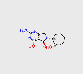 COc1nc(N)nc2c1C(=O)N([C@@H]1CCCCC[C@@H]1O)C2